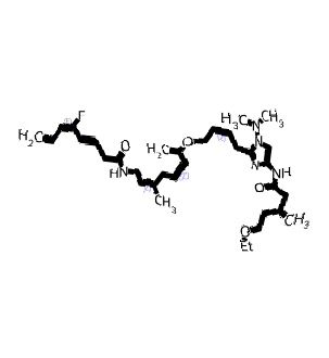 C=C/C=C(/F)C=CCC(=O)NC/C=C(/C)C/C=C\C(=C)OC/C=C\Cc1nc(NC(=O)CC(C)CCOCC)cn1N(C)C